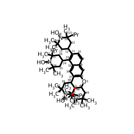 CC(C)C1(C)CC(Oc2cc3ccc(C4CC(C)(C)N(O)C(C)(C(C)C)C4)c(C4CC(C)(C)N(O)C(C)(C(C)C)C4)c3cc2C2CC(C)(C)N(O)C(C)(C(C)C)C2)CC(C)(C)N1C